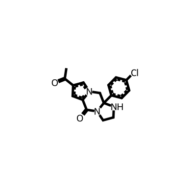 CC(=O)c1cc2n(c1)CC1(c3ccc(Cl)cc3)NCCN1C2=O